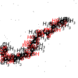 COc1cc(C(O)C(CO)Oc2ccc(C3Oc4c(OC)cc(C(O)C(CO)Oc5c(OC)cc(C(O)C(CO)Oc6ccc([C@H]7OC[C@@H]8C(c9cc(C)c(OC(CO)C(O)c%10ccc(OC(CO)C(O)c%11cc(C)c(OC(C)C)c(OC)c%11)c(OC)c%10)c(OC)c9)OC[C@H]78)cc6OC)cc5OC)cc4[C@H]3CO)cc2OC)ccc1OC(CO)C(O)c1cc(C)c(OC(CO)C(O)c2cc(C)c(OC(C)C)c(C)c2)c(OC)c1